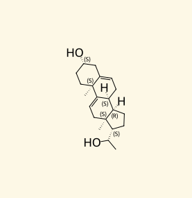 CC(O)[C@H]1CC[C@@H]2[C@@H]3CC=C4C[C@@H](O)CC[C@]4(C)C3=CC[C@]12C